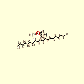 CCCCCCCCCCCCCCCCCCCC.CCCO[SiH](C)C